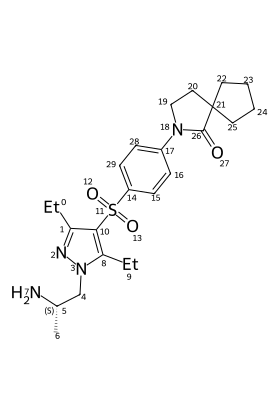 CCc1nn(C[C@H](C)N)c(CC)c1S(=O)(=O)c1ccc(N2CCC3(CCCC3)C2=O)cc1